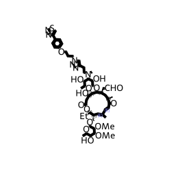 CC[C@H]1OC(=O)C[C@@H](O)[C@H](C)[C@@H](OC2OC(C)C(O)C(N(C)CCc3cn(CCCOc4ccc(-c5csnn5)cc4)nn3)C2O)[C@@H](CC=O)C[C@@H](C)C(=O)/C=C/C(C)=C/[C@@H]1COC1OC(C)C(O)C(OC)C1OC